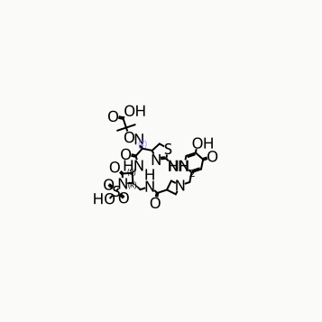 CC(C)(O/N=C(\C(=O)N[C@@H]1C(=O)N(S(=O)(=O)O)[C@@H]1CNC(=O)C1CN(Cc2cc(=O)c(O)c[nH]2)C1)C1CSC(N)=N1)C(=O)O